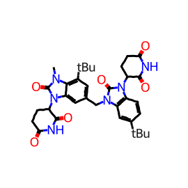 Cn1c(=O)n(C2CCC(=O)NC2=O)c2cc(Cn3c(=O)n(C4CCC(=O)NC4=O)c4ccc(C(C)(C)C)cc43)cc(C(C)(C)C)c21